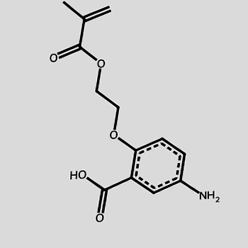 C=C(C)C(=O)OCCOc1ccc(N)cc1C(=O)O